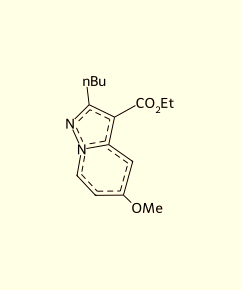 CCCCc1nn2ccc(OC)cc2c1C(=O)OCC